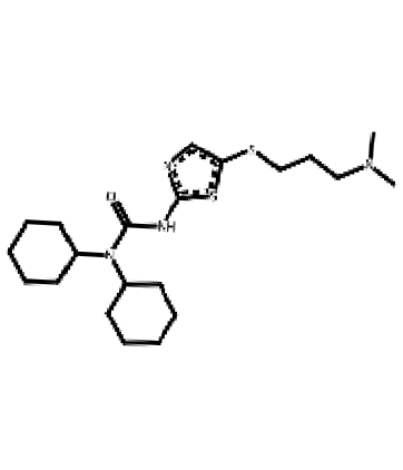 CN(C)CCCSc1cnc(NC(=O)N(C2CCCCC2)C2CCCCC2)s1